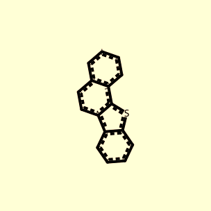 [c]1ccc2c(c1)ccc1c3ccccc3sc21